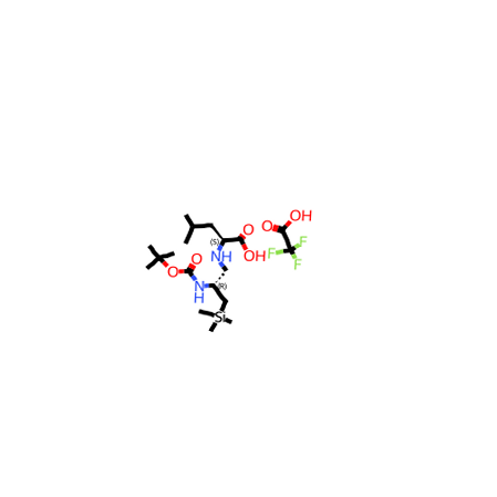 CC(C)C[C@H](NC[C@H](C[Si](C)(C)C)NC(=O)OC(C)(C)C)C(=O)O.O=C(O)C(F)(F)F